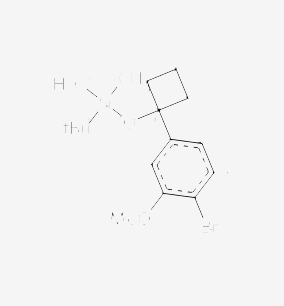 COc1cc(C2(O[Si](C)(C)C(C)(C)C)CCC2)ccc1Br